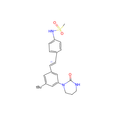 CC(C)(C)c1cc(/C=C/c2ccc(NS(C)(=O)=O)cc2)cc(N2CCCNC2=O)c1